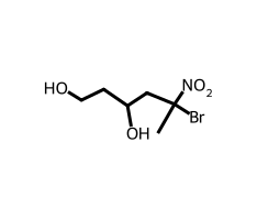 CC(Br)(CC(O)CCO)[N+](=O)[O-]